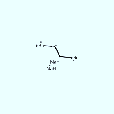 [CH2]CCCCCCCCC.[NaH].[NaH]